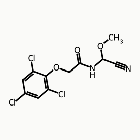 COC(C#N)NC(=O)COc1c(Cl)cc(Cl)cc1Cl